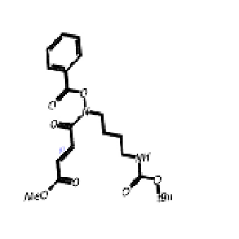 COC(=O)/C=C/C(=O)N(CCCCNC(=O)OC(C)(C)C)OC(=O)c1ccccc1